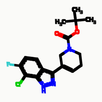 CC(C)(C)OC(=O)N1CCC=C(c2n[nH]c3c(Cl)c(F)ccc23)C1